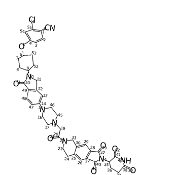 N#Cc1ccc(O[C@H]2CC[C@H](N3Cc4cc(N5CCN(CC(=O)N6CCc7cc8c(cc7C6)C(=O)N(C6CCC(=O)NC6=O)C8=O)CC5)ccc4C3=O)CC2)cc1Cl